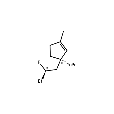 CCC[C@@]1(C[C@H](F)CC)C=C(C)CC1